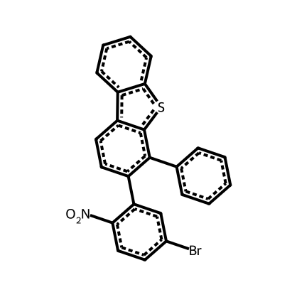 O=[N+]([O-])c1ccc(Br)cc1-c1ccc2c(sc3ccccc32)c1-c1ccccc1